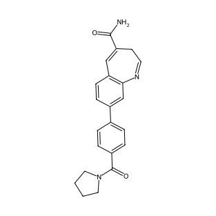 NC(=O)C1=Cc2ccc(-c3ccc(C(=O)N4CCCC4)cc3)cc2N=CC1